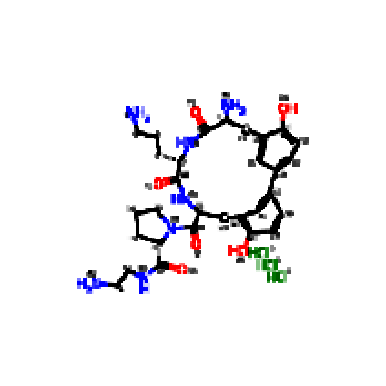 Cl.Cl.Cl.NCCC[C@@H]1NC(=O)[C@@H](N)Cc2cc(ccc2O)-c2ccc(O)c(c2)C[C@@H](C(=O)N2CCC[C@H]2C(=O)NCCN)NC1=O